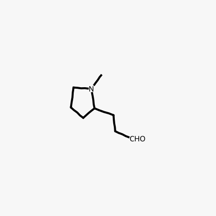 CN1CCCC1CCC=O